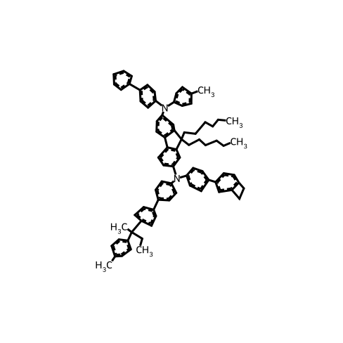 CCCCCCC1(CCCCCC)c2cc(N(c3ccc(C)cc3)c3ccc(-c4ccccc4)cc3)ccc2-c2ccc(N(c3ccc(-c4ccc(C(C)(CC)c5ccc(C)cc5)cc4)cc3)c3ccc(-c4ccc5c(c4)CC5)cc3)cc21